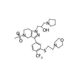 CS(=O)(=O)N1CCc2c(c(-c3ccc(C(F)(F)F)c(SCCN4CCOCC4)c3)nn2CC(O)CN2CCCC2)C1